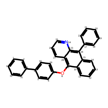 c1ccc(-c2ccc(Oc3c4ccccc4c(-c4ccccc4)c4ncccc34)cc2)cc1